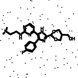 CN(C)CCNc1nccc(-c2[nH]c(C3OCC(CO)CO3)nc2-c2ccc(F)cc2)n1